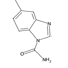 NC(=O)n1[c]nc2cc(F)ccc21